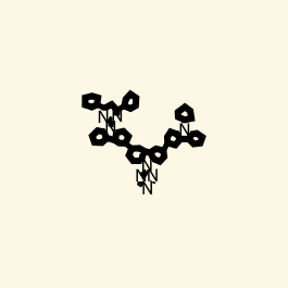 c1ccc(-c2cc(-c3ccccc3)nc(-n3c4ccccc4c4cc(-c5ccc6c(c5)c5cc(-c7ccc8c(c7)c7ccccc7n8-c7ccccc7)ccc5n6-c5ncncn5)ccc43)n2)cc1